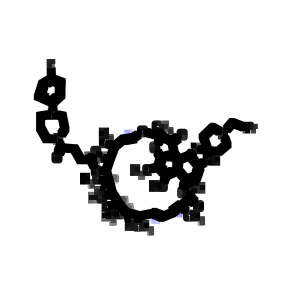 C/C1=C/C=C/C(C)[C@H](O)[C@@H](C)C(O)[C@@H](C)C(OC(=O)CCC(=O)N2CCCN(c3ccc(F)cc3)CC2)C(N)C(C)/C=C/OC2(C)Oc3c(C)c(O)c4c(c3C2=O)C2=NC3(CCN(CC(C)C)CC3)NC2=C(NC1=O)C4=O